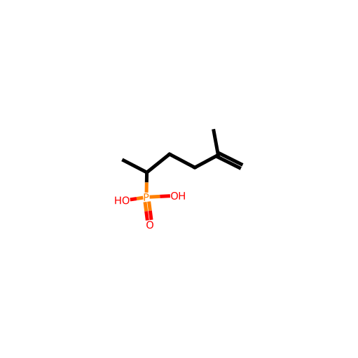 C=C(C)CCC(C)P(=O)(O)O